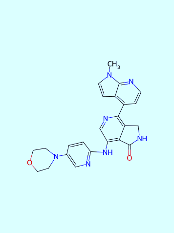 Cn1ccc2c(-c3ncc(Nc4ccc(N5CCOCC5)cn4)c4c3CNC4=O)ccnc21